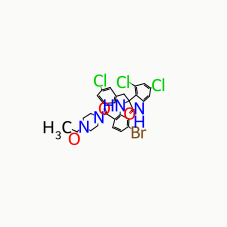 CC(=O)N1CCN(C(=O)c2ccc(Br)cc2NC2(Cc3cccc(Cl)c3)C(=O)Nc3cc(Cl)cc(Cl)c32)CC1